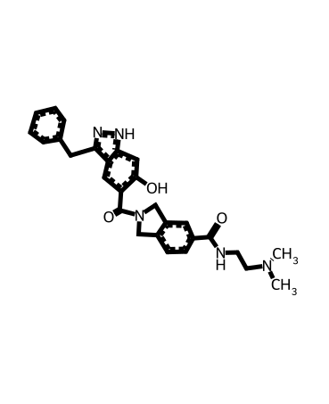 CN(C)CCNC(=O)c1ccc2c(c1)CN(C(=O)c1cc3c(Cc4ccccc4)n[nH]c3cc1O)C2